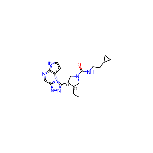 CC[C@@H]1CN(C(=O)NCCC2CC2)C[C@@H]1c1nnc2cnc3[nH]ccc3n12